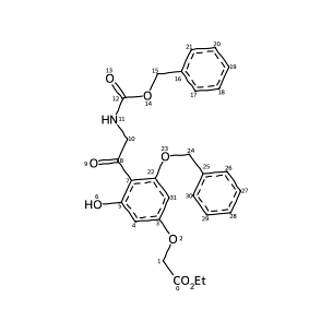 CCOC(=O)COc1cc(O)c(C(=O)CNC(=O)OCc2ccccc2)c(OCc2ccccc2)c1